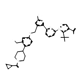 CCc1cc(NCc2cc(C)sc2-c2cccc(-n3ncc(C(=O)O)c3C(F)(F)F)n2)ccc1C1CCN(C(=O)C2CC2)CC1